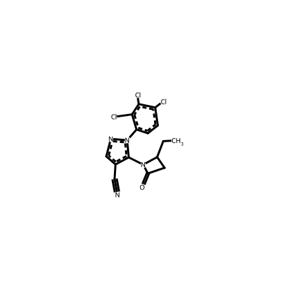 CCC1CC(=O)N1c1c(C#N)cnn1-c1ccc(Cl)c(Cl)c1Cl